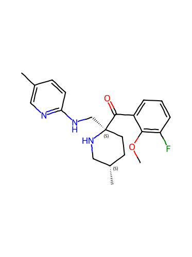 COc1c(F)cccc1C(=O)[C@@]1(CNc2ccc(C)cn2)CC[C@H](C)CN1